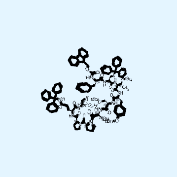 CC[C@H](C)[C@H](NC(=O)[C@H](COC(C)(C)C)NC(=O)[C@H](Cc1ccc(OC(C)(C)C)cc1)NC(=O)[C@@H](NC(=O)[C@H](CSC(c1ccccc1)(c1ccccc1)c1ccccc1)NC(=O)[C@H](Cc1ccccc1)NC(=O)OCC1c2ccccc2-c2ccccc21)[C@@H](C)OC(C)(C)C)C(=O)N1CCC[C@H]1C(=O)N1CCC[C@H]1C(=O)N[C@@H](CCC(=O)NC(c1ccccc1)(c1ccccc1)c1ccccc1)C(=O)N[C@@H](CS)C(=O)O